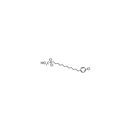 O=C(O)C(Cl)(Cl)CCCCCCCCCCCCc1ccc(Cl)cc1